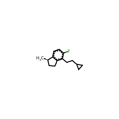 C[C@@H]1CCc2c1ccc(F)c2CCC1CC1